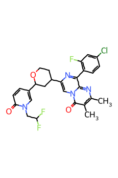 Cc1nc2c(-c3ccc(Cl)cc3F)nc(C3CCOC(c4ccc(=O)n(CC(F)F)c4)C3)cn2c(=O)c1C